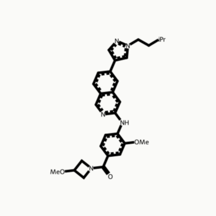 COc1cc(C(=O)N2CC(OC)C2)ccc1Nc1cc2cc(-c3cnn(CCC(C)C)c3)ccc2cn1